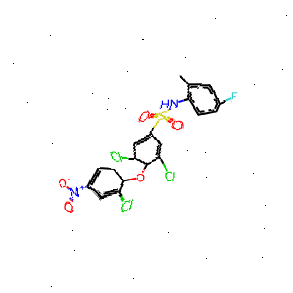 Cc1cc(F)ccc1NS(=O)(=O)C1=CC(Cl)C(OC2CC=C([N+](=O)[O-])C=C2Cl)C(Cl)=C1